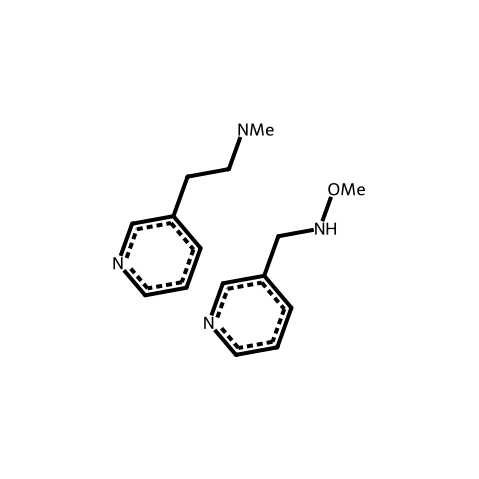 CNCCc1cccnc1.CONCc1cccnc1